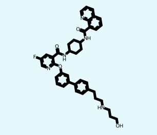 O=C(NC1CCC(NC(=O)c2cccc3cccnc23)CC1)c1cc(F)cnc1Oc1cccc(-c2ccc(CCCNCCCO)cc2)c1